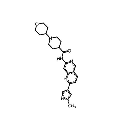 Cn1cc(-c2ccc3cnc(NC(=O)C4CCN(C5CCOCC5)CC4)cc3n2)cn1